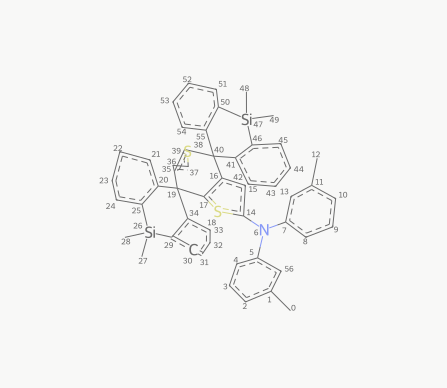 Cc1cccc(N(c2cccc(C)c2)c2cc3c(s2)C2(c4ccccc4[Si](C)(C)c4ccccc42)c2ccsc2C32c3ccccc3[Si](C)(C)c3ccccc32)c1